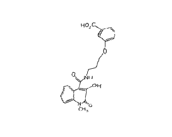 Cn1c(=O)c(O)c(C(=O)NCCCOc2cccc(C(=O)O)c2)c2ccccc21